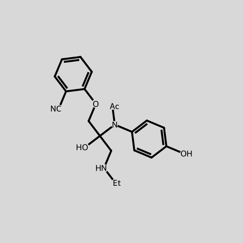 CCNCC(O)(COc1ccccc1C#N)N(C(C)=O)c1ccc(O)cc1